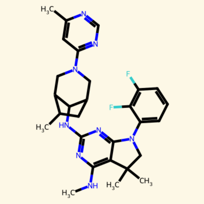 CNc1nc(NC2C3CC(C)C2CN(c2cc(C)ncn2)C3)nc2c1C(C)(C)CN2c1cccc(F)c1F